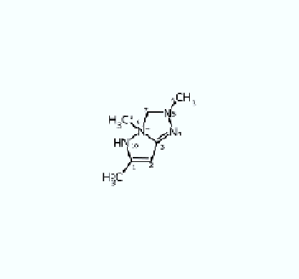 CC1=CC2=NN(C)C[N+]2(C)N1